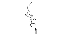 CCCCCCCC[C@H]1OC[C@H](C(=O)Oc2ccc(C#N)cc2)CO1